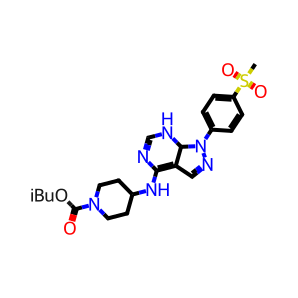 CC(C)COC(=O)N1CCC(NC2=C3C=NN(c4ccc(S(C)(=O)=O)cc4)C3NC=N2)CC1